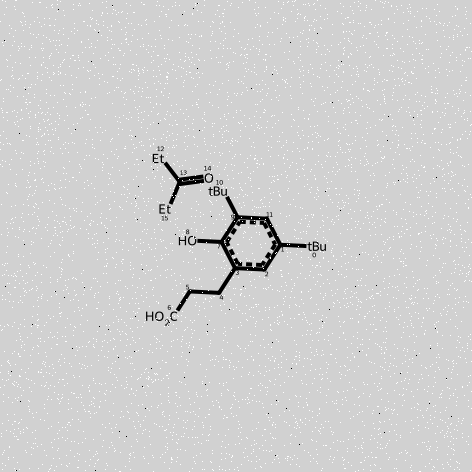 CC(C)(C)c1cc(CCC(=O)O)c(O)c(C(C)(C)C)c1.CCC(=O)CC